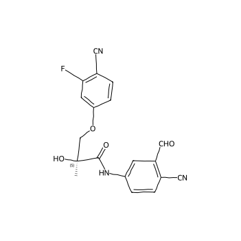 C[C@](O)(COc1ccc(C#N)c(F)c1)C(=O)Nc1ccc(C#N)c(C=O)c1